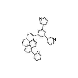 C1=CC2CC=C(c3cc(-c4cccnc4)cc(-c4cccnc4)c3)c3ccc4c(-c5ccccn5)ccc1c4c32